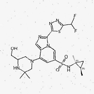 C[C@@H]1C[C@]1(C)NS(=O)(=O)c1cc(N2CC(CO)NC(C)(C)C2)c2cnc(-c3nnc(C(F)F)s3)n2c1